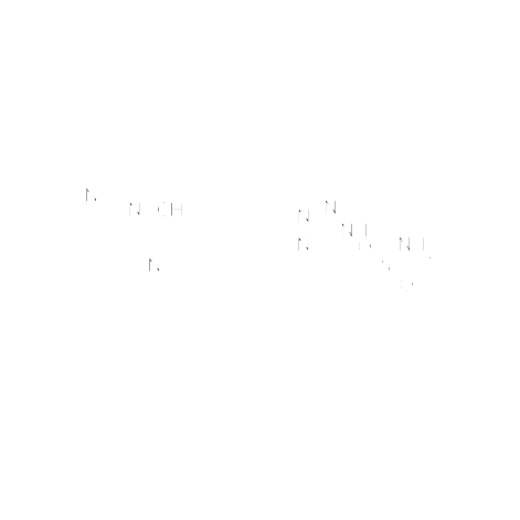 Cn1cncc1CN1CCC(c2ccc(-c3cccc(S(N)(=O)=O)c3-c3nnn[nH]3)cc2)CC1